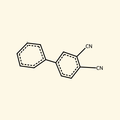 N#Cc1ccc(-c2c[c]ccc2)cc1C#N